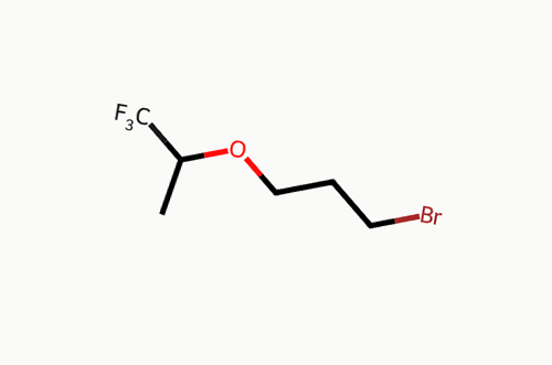 CC(OCCCBr)C(F)(F)F